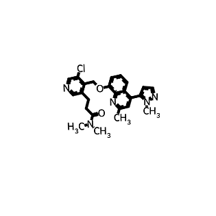 Cc1cc(-c2ccnn2C)c2cccc(OCc3c(Cl)cncc3CCC(=O)N(C)C)c2n1